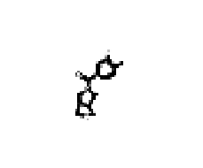 O=C(c1ccc(F)c(F)c1)N1CC2COCC2C1